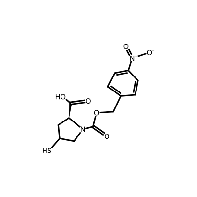 O=C(O)[C@@H]1CC(S)CN1C(=O)OCc1ccc([N+](=O)[O-])cc1